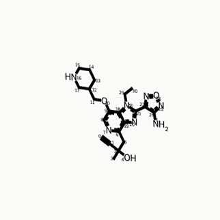 C#CC(C)(O)Cc1ncc(OCC2CCCNC2)c2c1nc(-c1nonc1N)n2CC